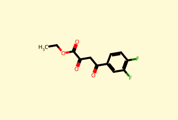 CCOC(=O)C(=O)CC(=O)c1ccc(F)c(F)c1